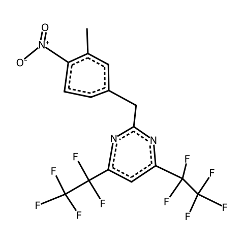 Cc1cc(Cc2nc(C(F)(F)C(F)(F)F)cc(C(F)(F)C(F)(F)F)n2)ccc1[N+](=O)[O-]